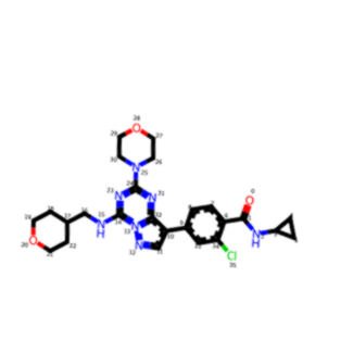 O=C(NC1CC1)c1ccc(-c2cnn3c(NCC4CCOCC4)nc(N4CCOCC4)nc23)cc1Cl